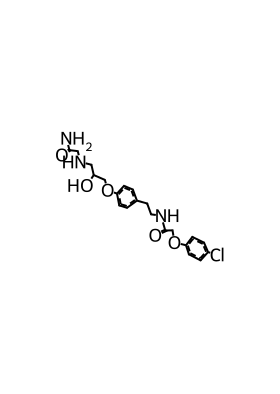 NC(=O)CNCC(O)COc1ccc(CCNC(=O)COc2ccc(Cl)cc2)cc1